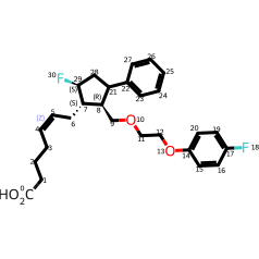 O=C(O)CCC/C=C\C[C@H]1[C@H](COCCOc2ccc(F)cc2)C(c2ccccc2)C[C@@H]1F